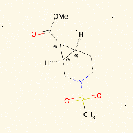 COC(=O)[C@H]1[C@@H]2CN(S(C)(=O)=O)CC[C@@H]21